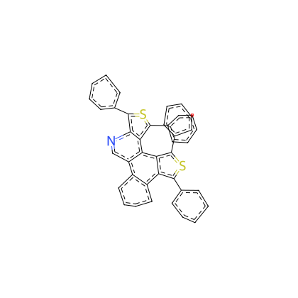 c1ccc(-c2sc(-c3ccccc3)c3c2ncc2c4ccccc4c4c(-c5ccccc5)sc(-c5ccccc5)c4c23)cc1